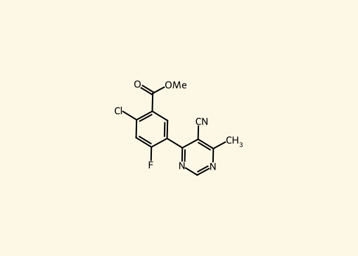 COC(=O)c1cc(-c2ncnc(C)c2C#N)c(F)cc1Cl